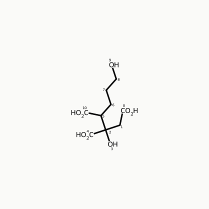 O=C(O)CC(O)(C(=O)O)C(CCCO)C(=O)O